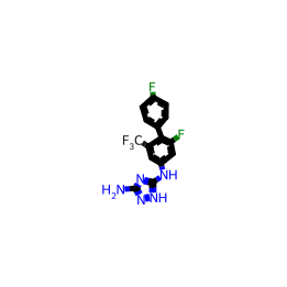 Nc1n[nH]c(Nc2cc(F)c(-c3ccc(F)cc3)c(C(F)(F)F)c2)n1